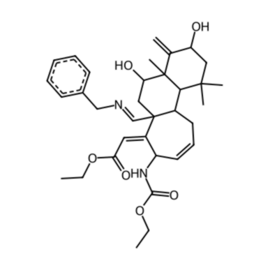 C=C1C(O)CC(C)(C)C2C3CC=CC(NC(=O)OCC)/C(=C\C(=O)OCC)C3(/C=N/Cc3ccccc3)CC(O)C12C